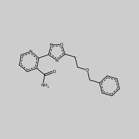 NC(=O)c1cccnc1-c1noc([CH]COCc2ccccc2)n1